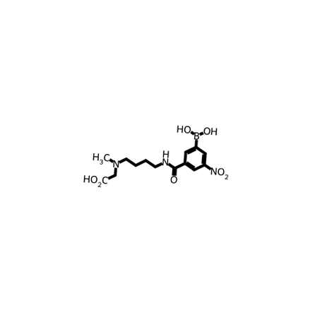 CN(CCCCNC(=O)c1cc(B(O)O)cc([N+](=O)[O-])c1)CC(=O)O